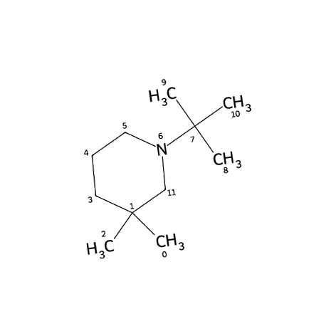 CC1(C)CCCN(C(C)(C)C)C1